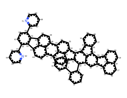 c1ccc(-c2ccccc2-c2c3cc4c5cccc6cccc(c65)c4c4c5ccccc5c(c5c6ccc7c8ccc9c%10c(ccc(c%11ccc(c25)c6c%117)c%108)-c2c(-c5ccccn5)ccc(-c5ccccn5)c2-9)c34)cc1